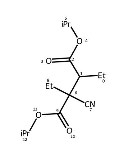 CCC(C(=O)OC(C)C)C(C#N)(CC)C(=O)OC(C)C